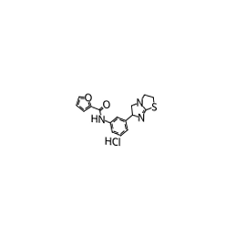 Cl.O=C(Nc1cccc(C2CN3CCSC3=N2)c1)c1ccco1